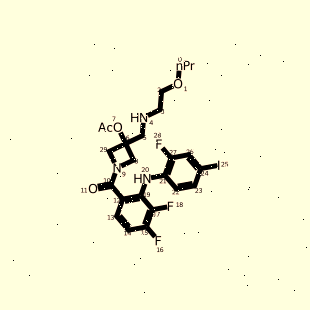 CCCOCCNCC1(OC(C)=O)CN(C(=O)c2ccc(F)c(F)c2Nc2ccc(I)cc2F)C1